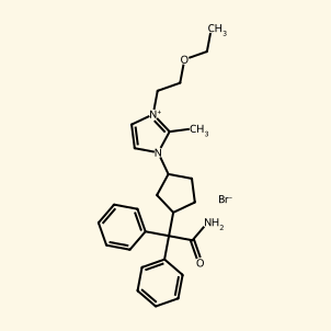 CCOCC[n+]1ccn(C2CCC(C(C(N)=O)(c3ccccc3)c3ccccc3)C2)c1C.[Br-]